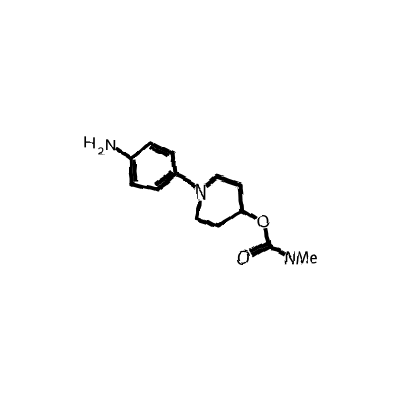 CNC(=O)OC1CCN(c2ccc(N)cc2)CC1